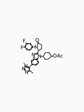 CC(=O)OC1CCC(n2c(C3CCC(=O)N3c3ccc(F)c(F)c3)nc3cc(-c4c(C)nnn4C)ccc32)CC1